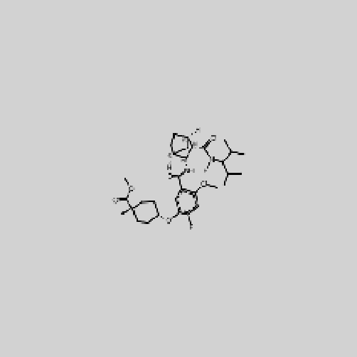 COc1cc(F)c(O[C@H]2CC[C@@](C)(C(=O)OC)CC2)cc1C(=O)N[C@@H]1[C@H]2CC[C@H](C2)[C@@H]1C(=O)N(F)C(C(C)C)C(C)C